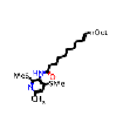 CCCCCCCCC=CCCCCCCCC(=O)Nc1c(SC)cc(C)nc1SC